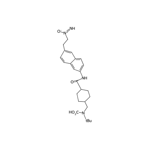 CC(C)(C)N(CC1CCC(C(=O)Nc2ccc3cc(CC[N+](=N)[O-])ccc3c2)CC1)C(=O)O